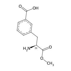 COC(=O)[C@@H](N)Cc1cccc(C(=O)O)c1